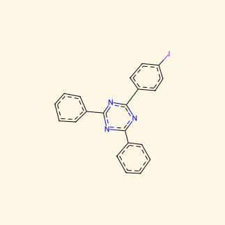 Ic1ccc(-c2nc(-c3ccccc3)nc(-c3ccccc3)n2)cc1